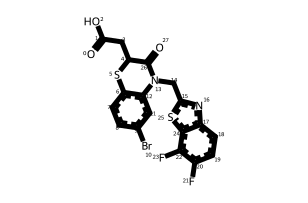 O=C(O)CC1Sc2ccc(Br)cc2N(Cc2nc3ccc(F)c(F)c3s2)C1=O